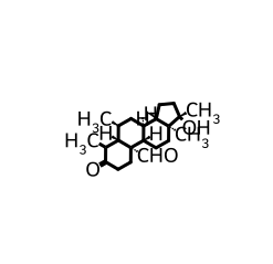 CC1C(=O)CC[C@@]2(C=O)[C@H]1[C@@H](C)C[C@@H]1[C@@H]2CC[C@@]2(C)[C@H]1CC[C@]2(C)O